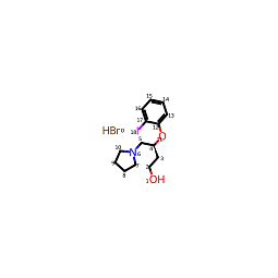 Br.OCC[C@@H](CN1CCCC1)Oc1ccccc1I